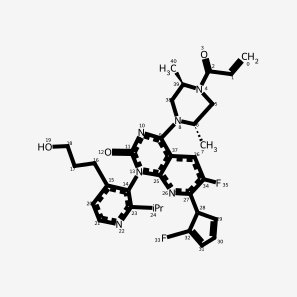 C=CC(=O)N1C[C@H](C)N(c2nc(=O)n(-c3c(CCCO)ccnc3C(C)C)c3nc(C4C=CC=C4F)c(F)cc23)C[C@H]1C